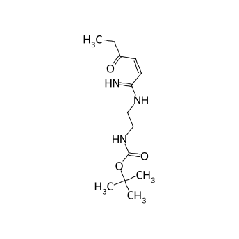 CCC(=O)/C=C\C(=N)NCCNC(=O)OC(C)(C)C